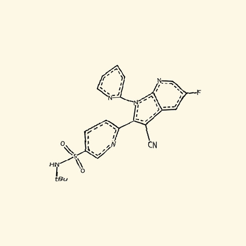 CC(C)(C)NS(=O)(=O)c1ccc(-c2c(C#N)c3cc(F)cnc3n2-c2ccccn2)nc1